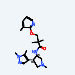 Cc1cccnc1OCC(C)(C)C(=O)N[C@H]1CN(C)C[C@@H]1c1cnn(C)c1C